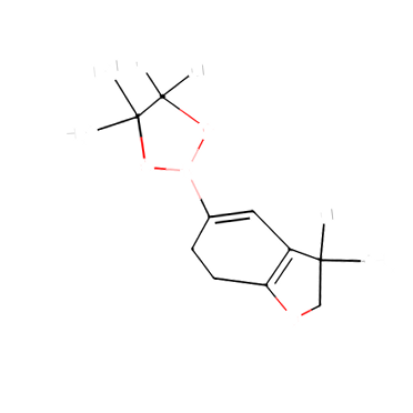 CC1(C)COC2=C1C=C(B1OC(C)(C)C(C)(C)O1)CC2